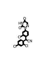 N#CC(c1ccc(Cl)cc1Cl)c1ccc(-n2ncc(=O)[nH]c2=O)cc1Cl